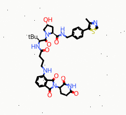 Cc1ncsc1-c1ccc(CNC(=O)[C@@H]2C[C@@H](O)CN2C(=O)[C@@H](NC(=O)CCCNc2cccc3c2C(=O)N(C2CCC(=O)NC2=O)C3=O)C(C)(C)C)cc1